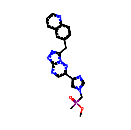 COP(C)(=O)Cn1cnc(-c2cnc3nnc(Cc4ccc5ncccc5c4)n3n2)c1